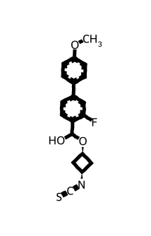 COc1ccc(-c2ccc(C(O)O[C@H]3C[C@@H](N=C=S)C3)c(F)c2)cc1